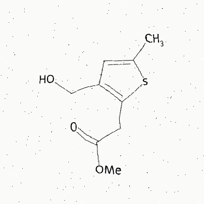 COC(=O)Cc1sc(C)cc1CO